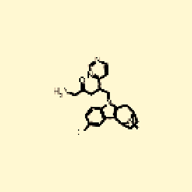 CN1C2CCC1c1c(n(CC(CC(=O)CN)c3ccncn3)c3ccc(Cl)cc13)C2